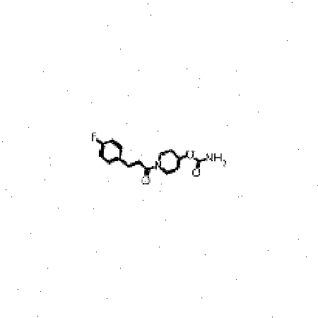 NC(=O)OC1CCN(C(=O)[CH]Cc2ccc(F)cc2)CC1